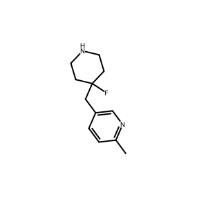 Cc1ccc(CC2(F)CCNCC2)cn1